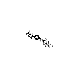 CC(C)(C)OC(=O)NCc1ccc(-c2noc(C(F)(F)F)n2)cc1